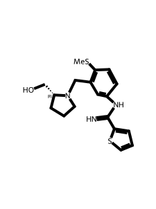 CSc1ccc(NC(=N)c2cccs2)cc1CN1CCC[C@@H]1CO